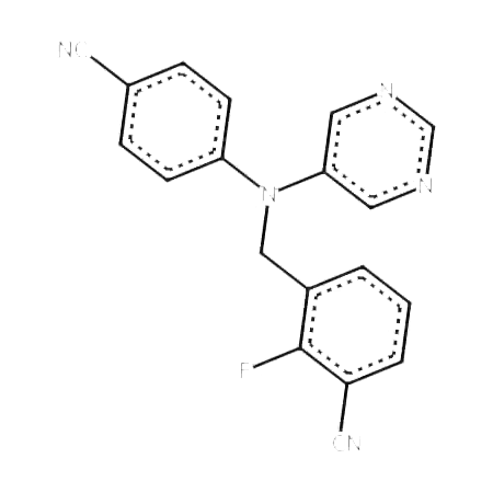 N#Cc1ccc(N(Cc2cccc(C#N)c2F)c2cncnc2)cc1